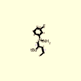 C/C=C\C(=C/N(N)c1cccc(F)c1)C(C)(C)C